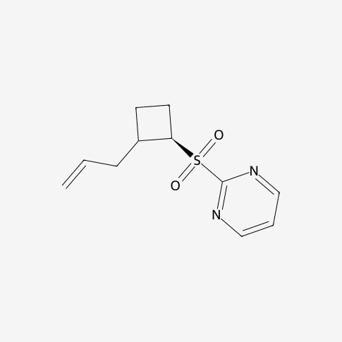 C=CCC1CC[C@H]1S(=O)(=O)c1ncccn1